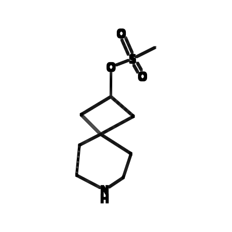 CS(=O)(=O)OC1CC2(CCNCC2)C1